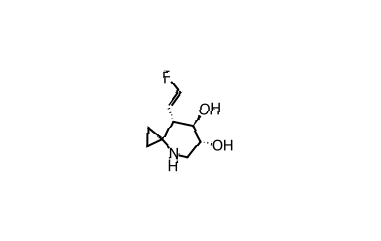 O[C@H]1[C@H](O)CNC2(CC2)[C@@H]1C=CF